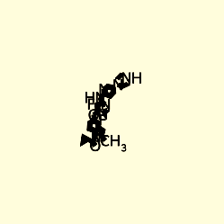 Cc1cc2c(F)c(Oc3ncnc(Nc4ccc(N5CCNCC5)cn4)c3F)ccc2n1C(=O)C1CC1